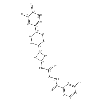 Cc1cccc(C(=O)NCC(=O)NC2CN(C3CCC(c4c[nH]c(=O)c(C)c4)CC3)C2)c1